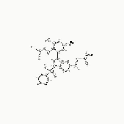 COC(=O)C=C(C)c1ccc2c(c1)c(-c1cc(C(C)(C)C)cc(C(C)(C)C)c1OCC(F)F)cn2S(=O)(=O)c1ccccc1